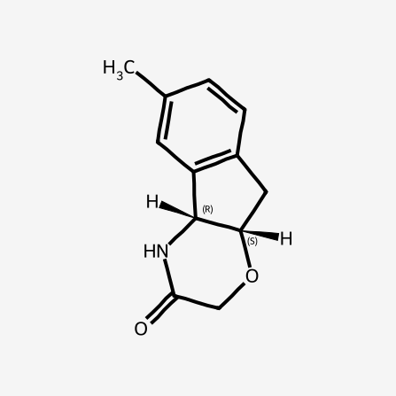 Cc1ccc2c(c1)[C@H]1NC(=O)CO[C@H]1C2